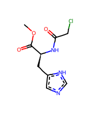 COC(=O)[C@H](Cc1cnc[nH]1)NC(=O)CCl